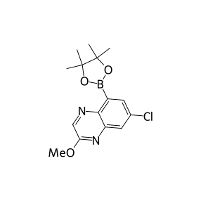 COc1cnc2c(B3OC(C)(C)C(C)(C)O3)cc(Cl)cc2n1